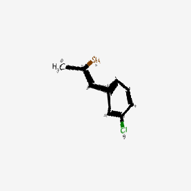 CC(S)=Cc1cccc(Cl)c1